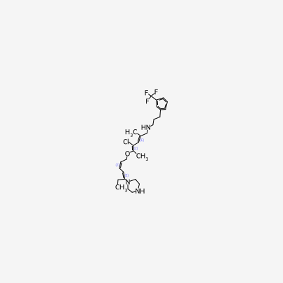 CC/C(=C\C=C/CO/C(C)=C(Cl)/C=C(\C)CNCCCc1cccc(C(F)(F)F)c1)N1CCNCC1